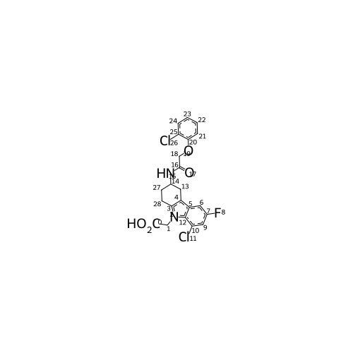 O=C(O)Cn1c2c(c3cc(F)cc(Cl)c31)CC(NC(=O)COc1ccccc1Cl)CC2